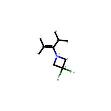 CC(C)=C(C(C)C)N1CC(F)(F)C1